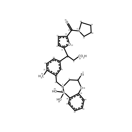 CCC1CN(Cc2cc(C(CC(=O)O)c3ccc(C(=O)N4CCCC4)o3)ccc2C)S(O)(O)c2ccccc2O1